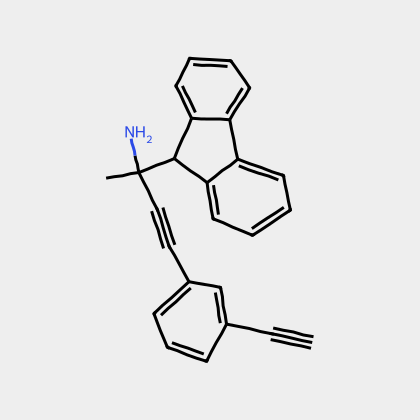 C#Cc1cccc(C#CC(C)(N)C2c3ccccc3-c3ccccc32)c1